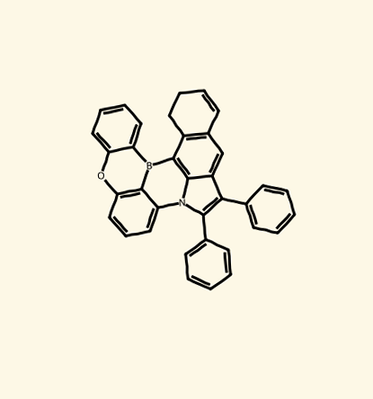 C1=Cc2cc3c(-c4ccccc4)c(-c4ccccc4)n4c3c(c2CC1)B1c2ccccc2Oc2cccc-4c21